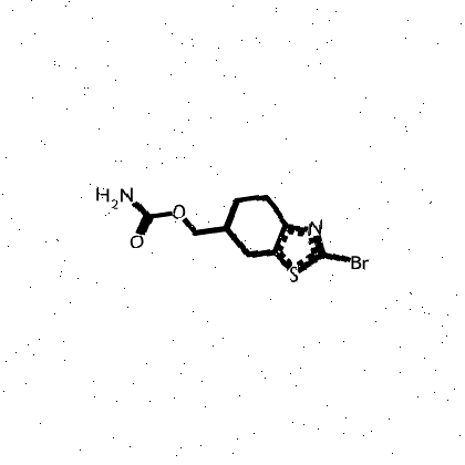 NC(=O)OCC1CCc2nc(Br)sc2C1